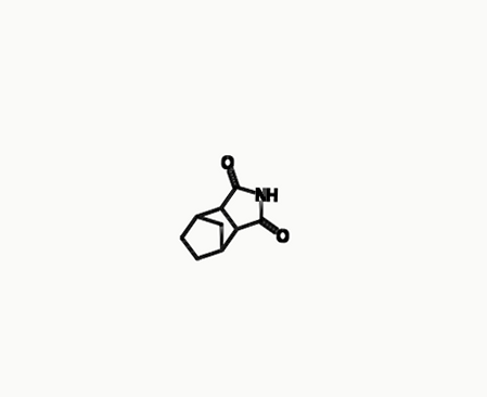 O=C1NC(=O)C2C3CCC(C3)C12